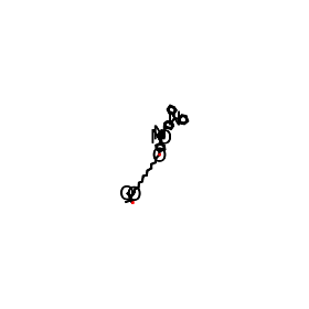 C=C(C)C(=O)OCCCCCCCCCCCOc1ccc(-c2nnc(-c3ccc(N(c4ccccc4)c4ccccc4)cc3)o2)cc1